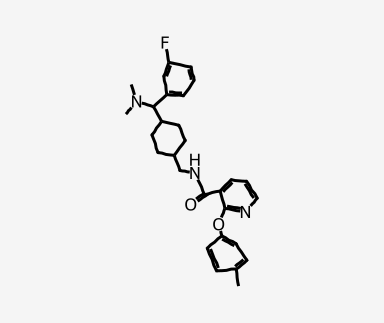 Cc1ccc(Oc2ncccc2C(=O)NCC2CCC(C(c3cccc(F)c3)N(C)C)CC2)cc1